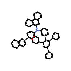 c1ccc(-c2cc(-c3ccccc3)c(-c3cccc(N(c4ccc(-c5ccc6ccccc6c5)cc4)c4cc5ccccc5c5ccccc45)c3)c(-c3ccccc3)c2)cc1